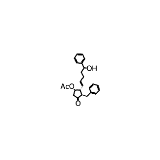 CC(=O)O[C@@H]1CC(=O)[C@H](Cc2ccccc2)[C@H]1/C=C/CCC(O)c1ccccc1